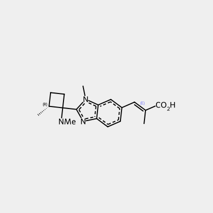 CNC1(c2nc3ccc(/C=C(\C)C(=O)O)cc3n2C)CC[C@H]1C